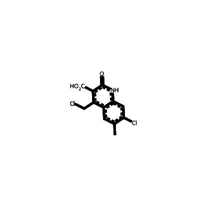 Cc1cc2c(CCl)c(C(=O)O)c(=O)[nH]c2cc1Cl